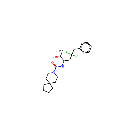 COC(=O)C(CC(F)(F)Cc1ccccc1)NC(=O)N1CCC2(CCCC2)CC1